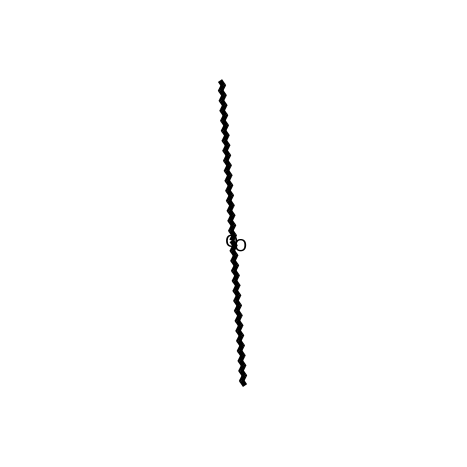 CCCCCCCCCCCCCCCCCCCCCCCCCCCCCCCCOC(=O)CCCCCCCCCCCCCCCCCCCCCCCCCCCC